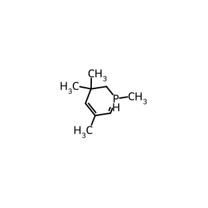 CC1=CC(C)(C)C[PH](C)=C1